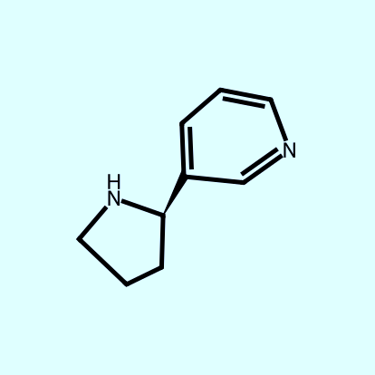 c1cncc([C@H]2CCCN2)c1